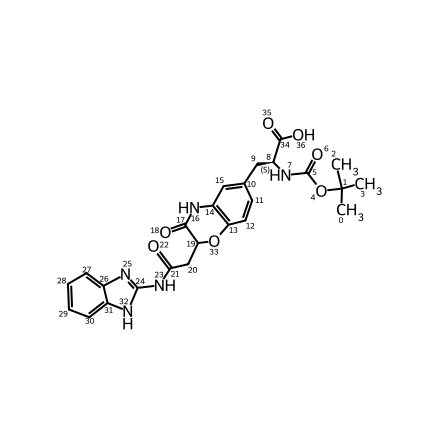 CC(C)(C)OC(=O)N[C@@H](Cc1ccc2c(c1)NC(=O)C(CC(=O)Nc1nc3ccccc3[nH]1)O2)C(=O)O